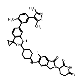 Cc1ccc(-c2c(C)noc2C)cc1-c1ccc(C2(C#N)CC2)c(NCC2CCC(Nc3cc4c(cc3F)C(=O)N(C3CCC(=O)NC3=O)C4)CC2)c1